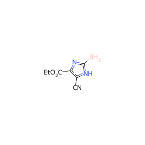 Bc1nc(C(=O)OCC)c(C#N)[nH]1